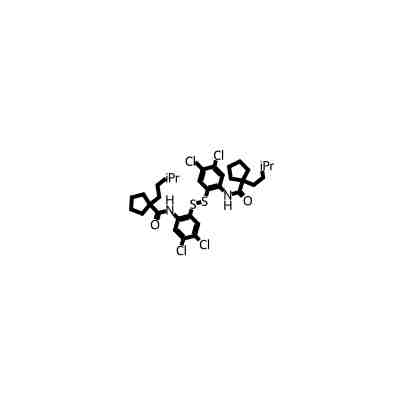 CC(C)CCC1(C(=O)Nc2cc(Cl)c(Cl)cc2SSc2cc(Cl)c(Cl)cc2NC(=O)C2(CCC(C)C)CCCC2)CCCC1